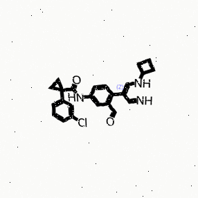 N=C/C(=C\NC1CCC1)c1ccc(NC(=O)C2(c3cccc(Cl)c3)CC2)cc1C=O